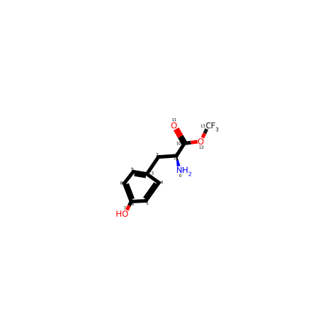 N[C@@H](Cc1ccc(O)cc1)C(=O)OC(F)(F)F